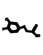 [NH]C(=O)CSc1ccc(F)c(Cl)c1